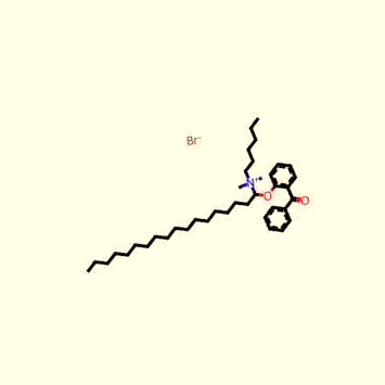 CCCCCCCCCCCCCCCCCC(Oc1ccccc1C(=O)c1ccccc1)[N+](C)(C)CCCCCC.[Br-]